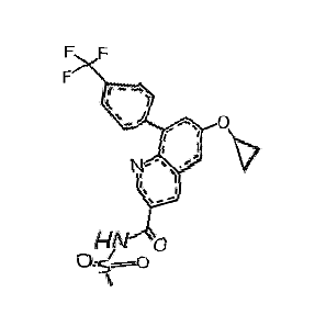 CS(=O)(=O)NC(=O)c1cnc2c(-c3ccc(C(F)(F)F)cc3)cc(OC3CC3)cc2c1